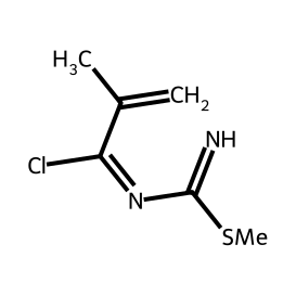 C=C(C)/C(Cl)=N\C(=N)SC